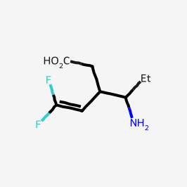 CCC(N)C(C=C(F)F)CC(=O)O